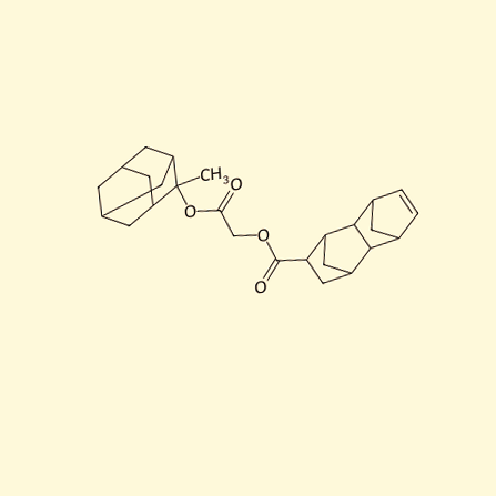 CC1(OC(=O)COC(=O)C2CC3CC2C2C4C=CC(C4)C32)C2CC3CC(C2)CC1C3